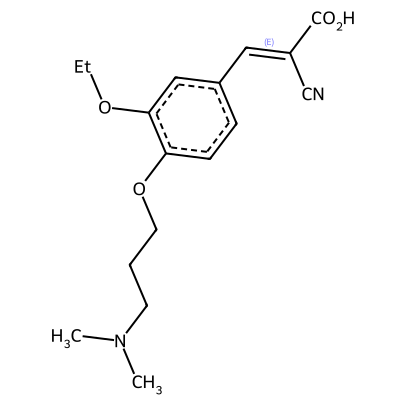 CCOc1cc(/C=C(\C#N)C(=O)O)ccc1OCCCN(C)C